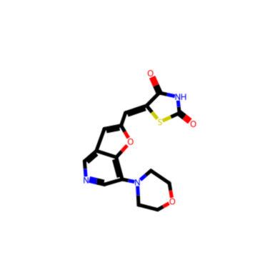 O=C1NC(=O)C(=Cc2cc3cncc(N4CCOCC4)c3o2)S1